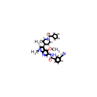 COc1c(NC(=O)c2cccc(C#N)c2)cnc2c1c([C@@H]1CCN(C(=O)C3CCCC3)C[C@@H]1C)cn2C